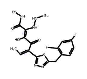 C/C=C(\C(=O)/C(O)=C(\NNCCCC)C(=O)NCC)c1nnc(Cc2ccc(F)cc2F)s1